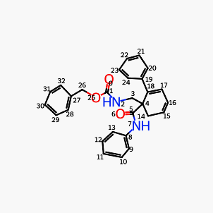 O=C(NCC1(C(=O)Nc2ccccc2)CC=CC=C1c1ccccc1)OCc1ccccc1